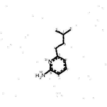 CC(C)CCc1cccc(N)n1